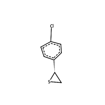 Clc1ccc([C@@H]2CS2)cc1